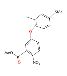 COC(=O)c1cc(Oc2ccc(SC)cc2C)ccc1[N+](=O)[O-]